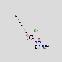 Br.CCCCCCCCCCCCCCOc1ccc(CCN(C(C)=O)c2ccccc2CN2C=C(C)SC2)cc1F